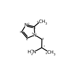 Cc1nccn1CC(C)N